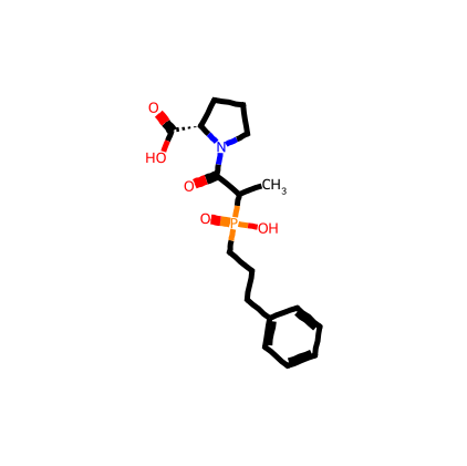 CC(C(=O)N1CCC[C@H]1C(=O)O)P(=O)(O)CCCc1ccccc1